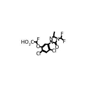 Cc1nn(-c2cc(OC(F)C(=O)O)c(Cl)cc2Cl)c(=O)n1C(F)F